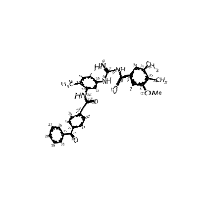 COc1cc(C(=O)NC(=N)Nc2ccc(C)c(NC(=O)c3ccc(C(=O)c4ccccc4)cc3)c2)cc(C)c1C